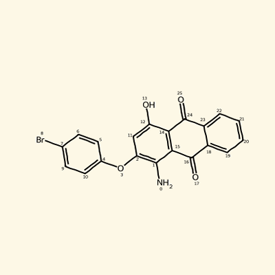 Nc1c(Oc2ccc(Br)cc2)cc(O)c2c1C(=O)c1ccccc1C2=O